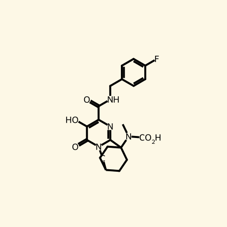 CN(C(=O)O)C12CCC(CC1)Cn1c2nc(C(=O)NCc2ccc(F)cc2)c(O)c1=O